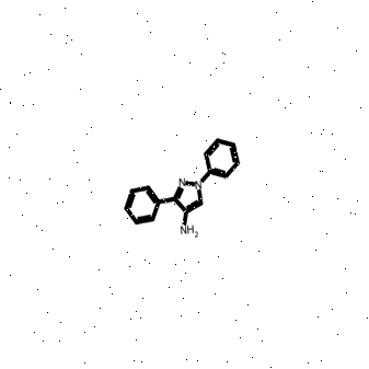 Nc1cn(-c2ccccc2)nc1-c1ccccc1